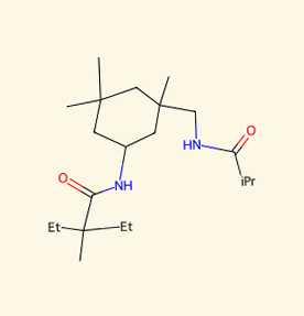 CCC(C)(CC)C(=O)NC1CC(C)(C)CC(C)(CNC(=O)C(C)C)C1